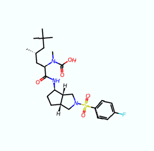 C[C@@H](CC(C(=O)N[C@@H]1CC[C@H]2CN(S(=O)(=O)c3ccc(F)cc3)C[C@H]21)N(C)C(=O)O)CC(C)(C)C